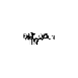 CCS(=O)(=O)NC(c1cncc(-c2cc3cc(C#N)ccc3o2)c1)C1CC1